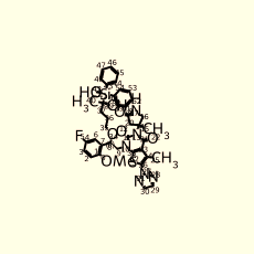 COc1ccc(F)cc1[C@H](Cn1c(=O)n(C2(C)CNC(=O)C2)c(=O)c2c(C)c(-n3nccn3)sc21)OCCCC(C)(C)[Si](O)(c1ccccc1)c1ccccc1